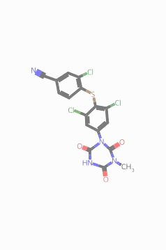 Cn1c(=O)[nH]c(=O)n(-c2cc(Cl)c(Sc3ccc(C#N)cc3Cl)c(Cl)c2)c1=O